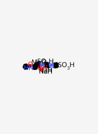 COc1cc(/N=N/c2ccc(S(=O)(=O)O)cc2)c(C)cc1/N=N/c1c(S(=O)(=O)O)cc2cc(NC(=O)c3ccccc3)ccc2c1O.[NaH].[NaH]